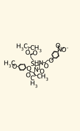 COc1ccc(OC(=O)C(=C(C)C)N2C(=O)C(NC(=O)COc3ccc([N+](=O)[O-])cc3)C2SCCC(=O)OC(C)C)cc1